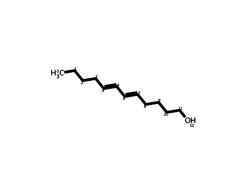 CCCCC=CC=CCCCCO